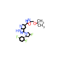 CC(C)OCc1nnc(-c2cnc3[nH]nc(N4C[C@@H](F)C[C@@H]4c4cc(F)ccc4F)c3c2)o1